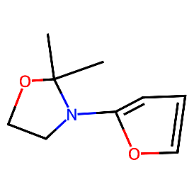 CC1(C)OCCN1c1ccco1